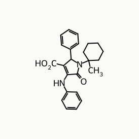 CC1(N2C(=O)C(Nc3ccccc3)=C(C(=O)O)C2c2ccccc2)CCCCC1